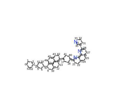 c1ccc(-c2ccc(-c3ccc4ccc5c(-c6ccc(-c7ccc8ccc9ccc(-c%10cccnc%10)nc9c8n7)cc6)ccc6ccc3c4c65)cc2)cc1